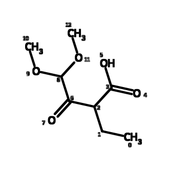 CCC(C(=O)O)C(=O)C(OC)OC